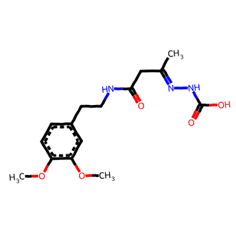 COc1ccc(CCNC(=O)CC(C)=NNC(=O)O)cc1OC